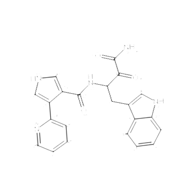 NC(=O)C(=O)C(Cc1c[nH]c2ccccc12)NC(=O)c1c[nH]cc1-c1ccccn1